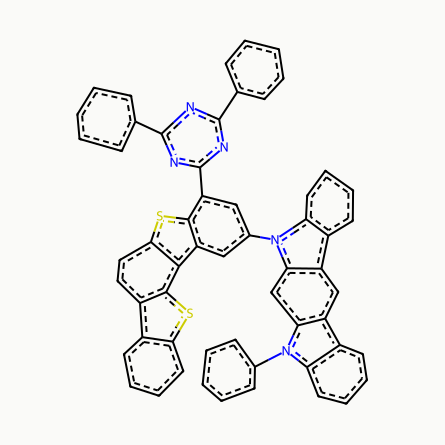 c1ccc(-c2nc(-c3ccccc3)nc(-c3cc(-n4c5ccccc5c5cc6c7ccccc7n(-c7ccccc7)c6cc54)cc4c3sc3ccc5c6ccccc6sc5c34)n2)cc1